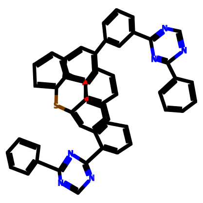 c1ccc(-c2ncnc(-c3cccc(-c4cccc(-c5ccccc5Sc5ccccc5-c5cccc(-c6cccc(-c7ncnc(-c8ccccc8)n7)c6)c5)c4)c3)n2)cc1